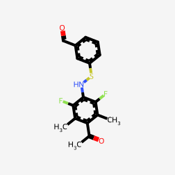 CC(=O)c1c(C)c(F)c(NSc2cccc(C=O)c2)c(F)c1C